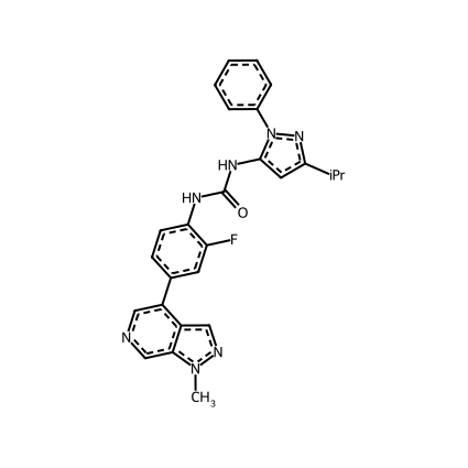 CC(C)c1cc(NC(=O)Nc2ccc(-c3cncc4c3cnn4C)cc2F)n(-c2ccccc2)n1